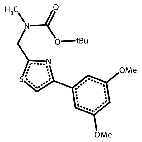 COc1[c]c(OC)cc(-c2csc(CN(C)C(=O)OC(C)(C)C)n2)c1